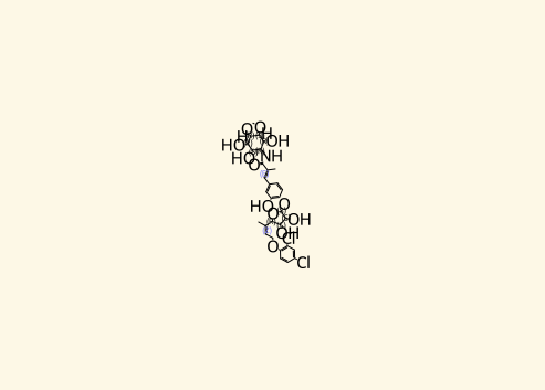 C/C(=C/COc1ccc(Cl)cc1Cl)[C@H]1O[C@@H](Oc2ccc(/C=C(\C)C(=O)N[C@@H]3[C@H](O)[C@@H](O)[C@H]4OCO[C@H]4[C@@H]3O)cc2O)[C@@H](O)[C@@H]1O